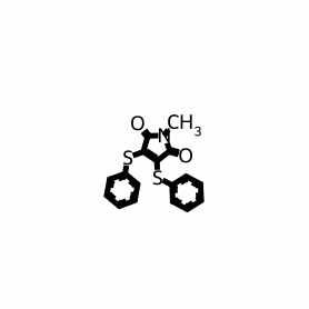 CN1C(=O)C(Sc2ccccc2)=C(Sc2ccccc2)C1=O